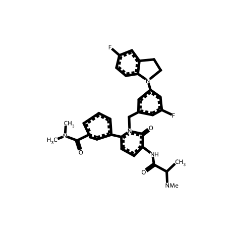 CNC(C)C(=O)Nc1ccc(-c2cccc(C(=O)N(C)C)c2)n(Cc2cc(F)cc(N3CCc4cc(F)ccc43)c2)c1=O